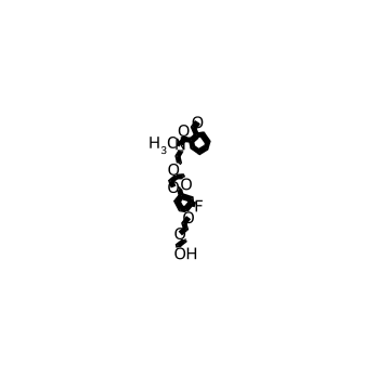 CN(CCCOC1COC(c2ccc(OCCOCCO)c(F)c2)OC1)C(=O)C1=C(C=O)C=CC=CC1